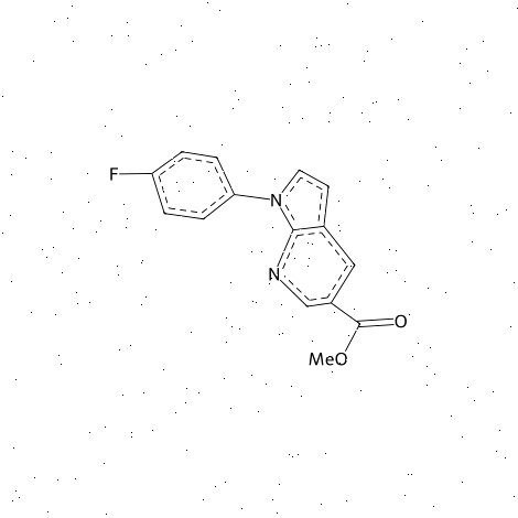 COC(=O)c1cnc2c(ccn2-c2ccc(F)cc2)c1